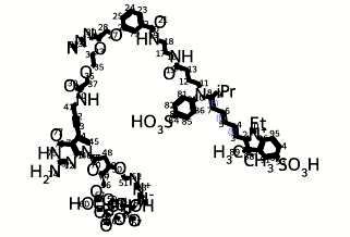 CC[N+]1=C(/C=C/C=C/C=C(\C(C)C)N(CCCC(=O)NCCNC(=O)c2cccc(OCC(N=[N+]=[N-])OCCOCC(=O)NCC#Cc3cn([C@H]4CC(OCN=[N+]=[N-])[C@@H](COP(=O)(O)OP(=O)(O)OP(=O)(O)O)O4)c4nc(N)[nH]c(=O)c34)c2)c2ccc(S(=O)(=O)O)cc2)C(C)(C)c2cc(S(=O)(=O)O)ccc21